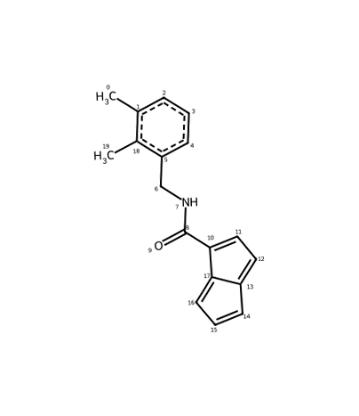 Cc1cccc(CNC(=O)C2=CC=C3C=CC=C32)c1C